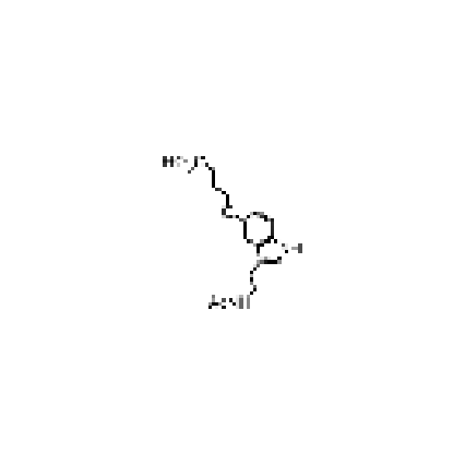 CC(=O)NCCc1c[nH]c2ccc(OCCCC(=O)O)cc12